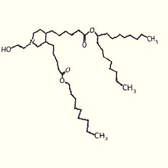 CCCCCCCCCOC(=O)CCCCC1CN(CCO)CCC1CCCCCC(=O)OC(CCCCCCCC)CCCCCCCC